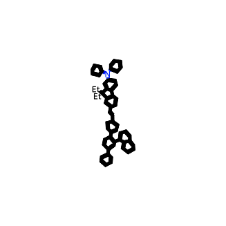 CCC1(CC)c2cc(/C=C/c3ccc(-c4ccc(-c5ccccc5)cc4-c4cccc5ccccc45)cc3)ccc2-c2ccc(N(c3ccccc3)c3ccccc3)cc21